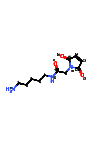 NCCCCCNC(=O)CN1C(=O)C=CC1=O